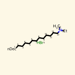 Br.CCCCCCCCCCCCCCCCCCCCCCN(C)CC